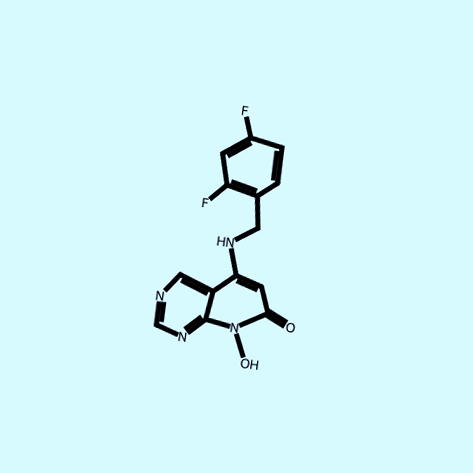 O=c1cc(NCc2ccc(F)cc2F)c2cncnc2n1O